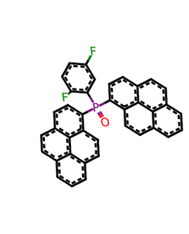 O=P(c1cc(F)ccc1F)(c1ccc2ccc3cccc4ccc1c2c34)c1ccc2ccc3cccc4ccc1c2c34